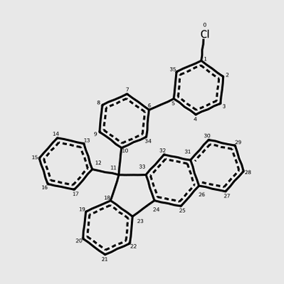 Clc1cccc(-c2cccc(C3(c4ccccc4)c4ccccc4-c4cc5ccccc5cc43)c2)c1